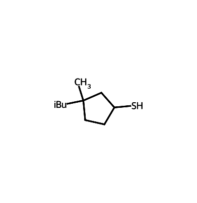 CCC(C)C1(C)CCC(S)C1